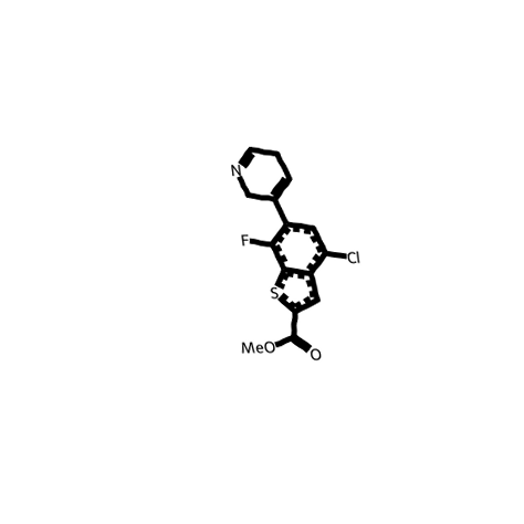 COC(=O)c1cc2c(Cl)cc(C3=CCC=NC3)c(F)c2s1